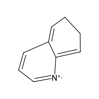 C1=CC2=CCCC=C2[N+]=C1